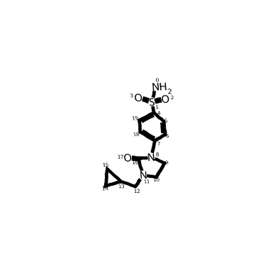 NS(=O)(=O)c1ccc(N2CCN(CC3CC3)C2=O)cc1